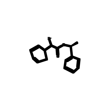 C[C@H](OC(=O)C(Br)C1C=CC=CC1)c1ccccc1